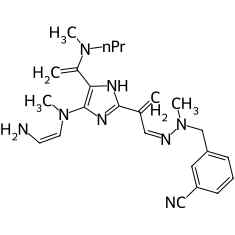 C=C(/C=N\N(C)Cc1cccc(C#N)c1)c1nc(N(C)/C=C\N)c(C(=C)N(C)CCC)[nH]1